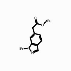 CC(C)n1ncc2ccc(CC(=O)OC(C)(C)C)cc21